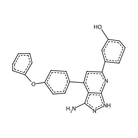 Nc1n[nH]c2nc(-c3cccc(O)c3)cc(-c3ccc(Oc4ccccc4)cc3)c12